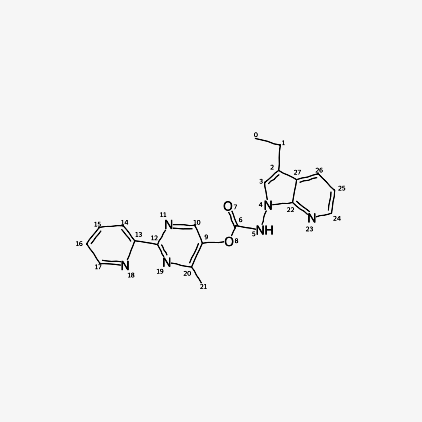 CCc1cn(NC(=O)Oc2cnc(-c3ccccn3)nc2C)c2ncccc12